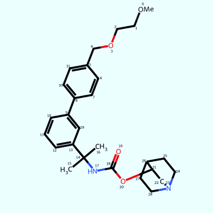 COCCOCc1ccc(-c2cccc(C(C)(C)NC(=O)OC3CN4CCC3CC4)c2)cc1